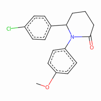 COc1ccc(N2C(=O)CCCC2c2ccc(Cl)cc2)cc1